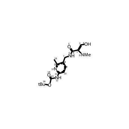 CN/C(=C\O)C(=O)NCc1ccc(NC(=O)OC(C)(C)C)nc1C